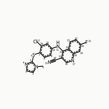 Cn1ccnc1Sc1ccc(Nc2c(C#N)cnc3cc(F)ccc23)cc1Cl